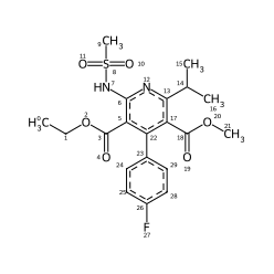 CCOC(=O)c1c(NS(C)(=O)=O)nc(C(C)C)c(C(=O)OC)c1-c1ccc(F)cc1